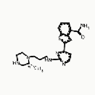 C[C@@H]1CNCCN1CCCNc1nccc(-c2cc3c(C(N)=O)cccc3s2)n1